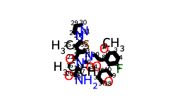 COc1ccc(F)cc1C(Cn1c(=O)n(C(C)(C)C(N)=O)c(=O)c2c(C)c(-n3cccn3)sc21)OC1CCOCC1